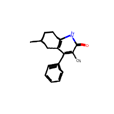 CC1CCc2[nH]c(=O)c(C#N)c(-c3ccccc3)c2C1